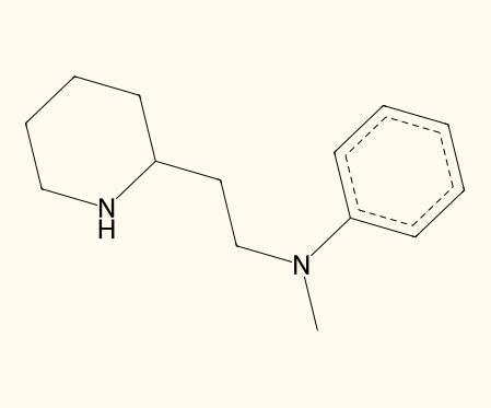 CN(CCC1CCCCN1)c1ccccc1